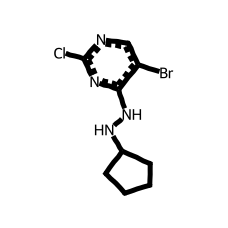 Clc1ncc(Br)c(NNC2CCCC2)n1